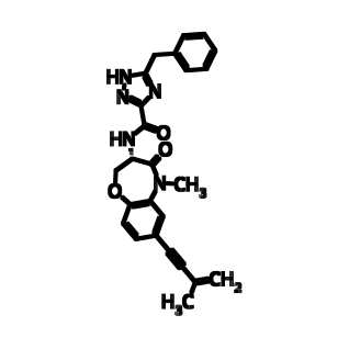 C=C(C)C#Cc1ccc2c(c1)N(C)C(=O)[C@@H](NC(=O)c1n[nH]c(Cc3ccccc3)n1)CO2